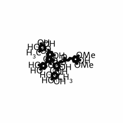 COc1cc(/C=C/C(=O)OCC2O[C@@H](Oc3c(-c4ccc(O)c(O)c4)oc4cc(O[C@@H]5OC(C)[C@H](O)C(O)[C@@H]5O)cc(O)c4c3=O)[C@@H](O[C@@H]3OC(C)[C@H](O)C(O)[C@@H]3O)C(O)[C@@H]2O)cc(OC)c1O